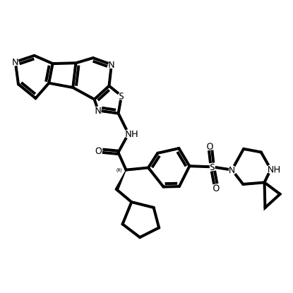 O=C(Nc1nc2c3c(cnc2s1)-c1cnccc1-3)[C@H](CC1CCCC1)c1ccc(S(=O)(=O)N2CCNC3(CC3)C2)cc1